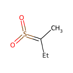 CCC(C)=S(=O)=O